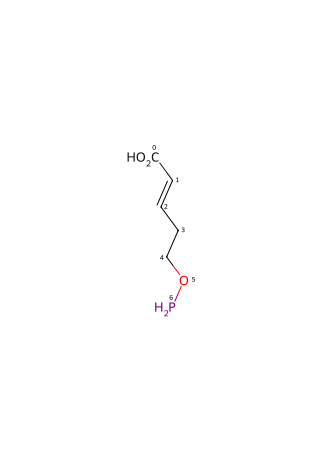 O=C(O)C=CCCOP